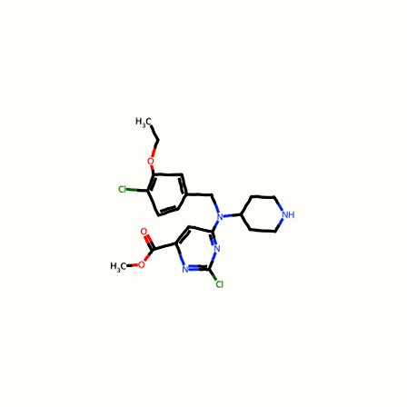 CCOc1cc(CN(c2cc(C(=O)OC)nc(Cl)n2)C2CCNCC2)ccc1Cl